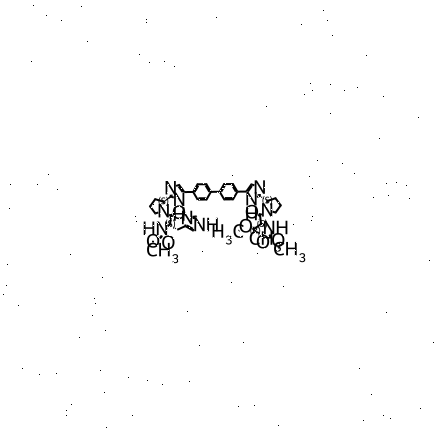 COC(=O)N[C@@H](Cc1c[nH]cn1)C(=O)N1CCC[C@H]1c1ncc(-c2ccc(-c3ccc(-c4cnc([C@@H]5CCCN5C(=O)[C@@H](NC(=O)OC)[C@@H](C)OC)[nH]4)cc3)cc2)[nH]1